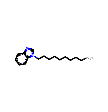 O=S(=O)(O)CCCCCCCCCn1cnc2ccccc21